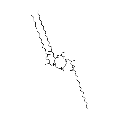 C=C(CCCCCCCCCCCCCCC)CCC1CC(CC)CN(CC(C)COC(=C)CCCCCCCCCCCCCCC)CCN(C)CCN(CC(C)COC(=C)CCCCCCCCCCCCCCC)C1